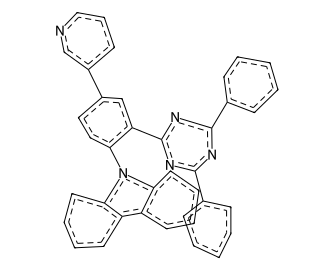 c1ccc(-c2nc(-c3ccccc3)nc(-c3cc(-c4cccnc4)ccc3-n3c4ccccc4c4ccccc43)n2)cc1